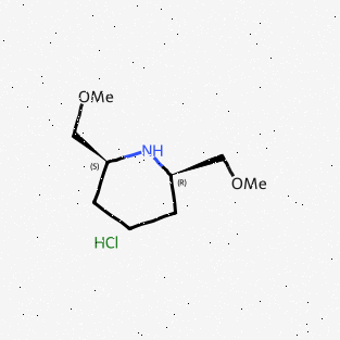 COC[C@H]1CCC[C@@H](COC)N1.Cl